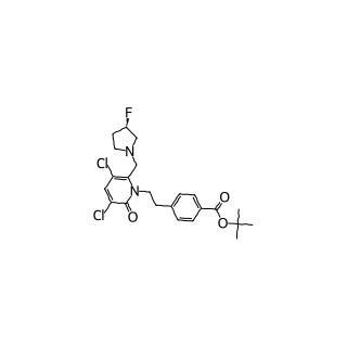 CC(C)(C)OC(=O)c1ccc(CCn2c(CN3CC[C@@H](F)C3)c(Cl)cc(Cl)c2=O)cc1